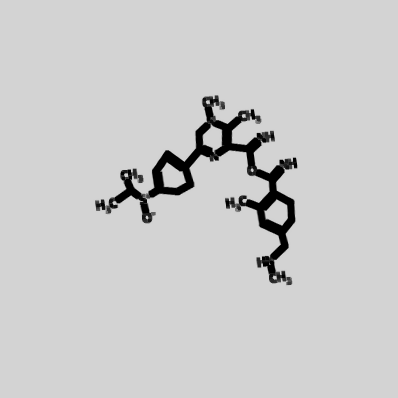 CNCC1=CC(C)=C(C(=N)OC(=N)C2=C(C)N(C)CC(C3=CC=C([S+]([O-])C(C)C)CC3)=N2)CC1